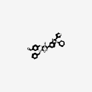 O=Cc1ccc(C[C@H](NC(=O)c2ccc3c(c2)nc(-c2ccoc2)n3C2CCCCC2)C(=O)OCc2ccccc2)cc1